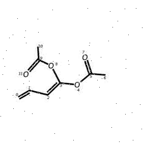 C=CC=C(OC(C)=O)OC(C)=O